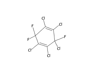 FC1(F)C(Cl)=C(Cl)C(F)(Cl)C(Cl)=C1Cl